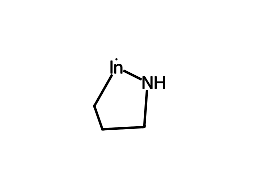 C1C[NH][In][CH2]1